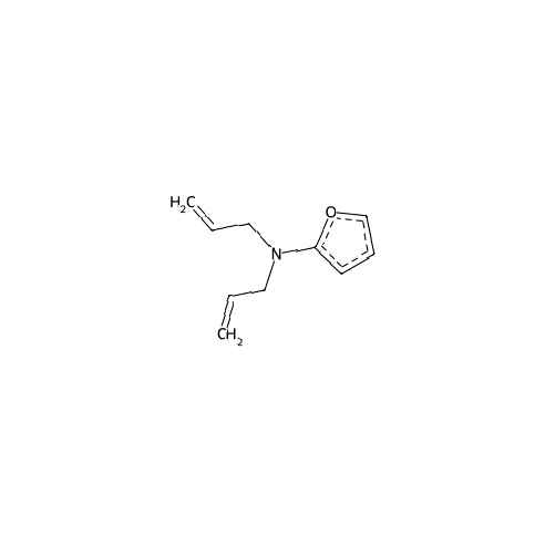 C=CCN(CC=C)c1ccco1